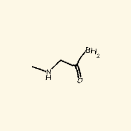 BC(=O)CNC